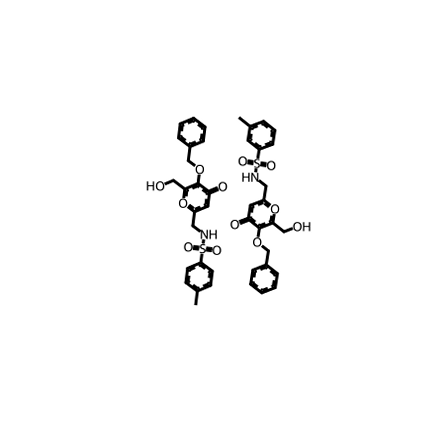 Cc1ccc(S(=O)(=O)NCc2cc(=O)c(OCc3ccccc3)c(CO)o2)cc1.Cc1cccc(S(=O)(=O)NCc2cc(=O)c(OCc3ccccc3)c(CO)o2)c1